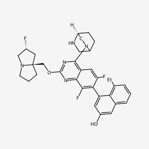 CCc1cccc2cc(O)cc(-c3c(F)cc4c(N5C[C@@H]6CCC5CN6)nc(OC[C@@]56CCCN5C[C@H](F)C6)nc4c3F)c12